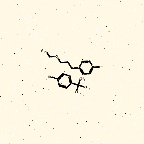 CC(C)(C)c1ccc(Br)cc1.CCOCCCc1ccc(Br)cc1